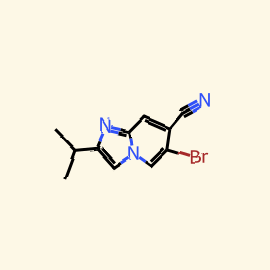 CC(C)c1cn2cc(Br)c(C#N)cc2n1